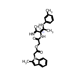 CC(=N)/C(NC(=O)COC(=O)Cn1c(C)cc2ccccc21)=C(/C)Nc1cccc(C)c1